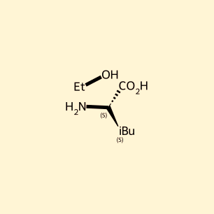 CCO.CC[C@H](C)[C@H](N)C(=O)O